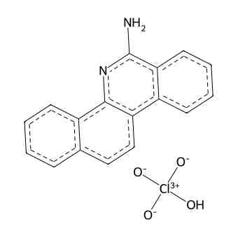 Nc1nc2c3ccccc3ccc2c2ccccc12.[O-][Cl+3]([O-])([O-])O